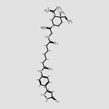 C=C[C@]1(C)CC[C@@H](C(=C)COC(=O)CCCCCC(=O)Oc2ccc(-c3cc(=S)ss3)cc2)C[C@H]1C(=C)C